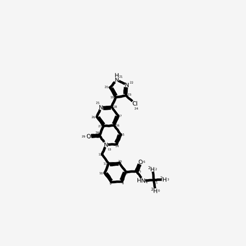 [2H]C([2H])([2H])NC(=O)c1cccc(Cn2ccc3cc(-c4c[nH]nc4Cl)ncc3c2=O)c1